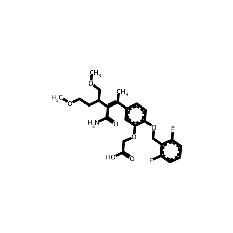 COCCC(COC)C(C(N)=O)=C(C)c1ccc(OCc2c(F)cccc2F)c(OCC(=O)O)c1